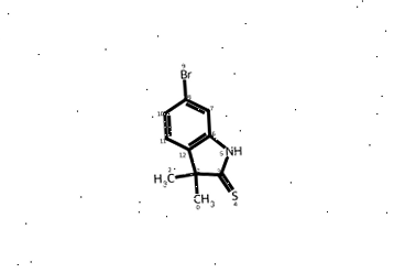 CC1(C)C(=S)Nc2cc(Br)ccc21